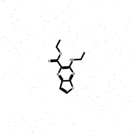 CCNc1nc2sccc2nc1C(=O)OCC